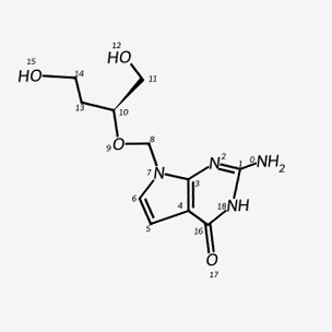 Nc1nc2c(ccn2CO[C@H](CO)CCO)c(=O)[nH]1